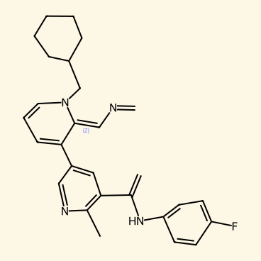 C=N/C=C1/C(c2cnc(C)c(C(=C)Nc3ccc(F)cc3)c2)=CC=CN1CC1CCCCC1